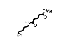 COC(=O)CCCC(=O)NCCCCC(C)C